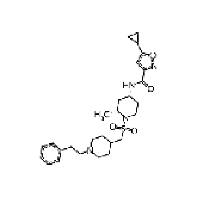 C[C@@H]1C[C@H](NC(=O)c2cc(C3CC3)on2)CCN1S(=O)(=O)CC1CCN(CCc2ccccc2)CC1